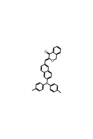 Cc1ccc(N(c2ccc(C)cc2)c2ccc3cc(C=C4OCc5ccccc5C4=O)ccc3c2)cc1